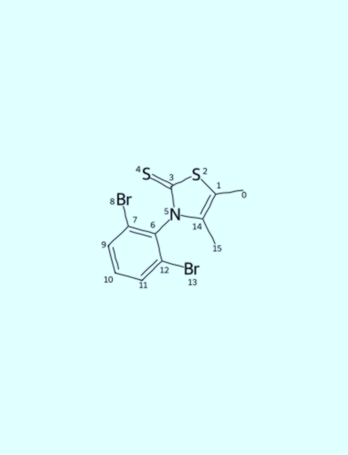 Cc1sc(=S)n(-c2c(Br)cccc2Br)c1C